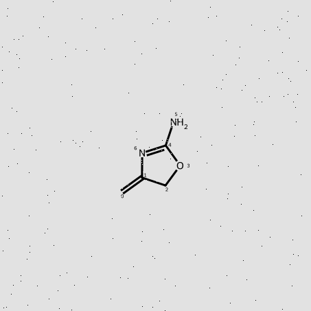 C=C1COC(N)=N1